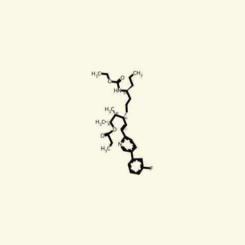 CCC[C@@H](CCC[C@H](/C=C/c1ccc(-c2cccc(F)c2)cn1)[C@@H](C)[C@@H](C)OC(=O)CC)NC(=O)OCC